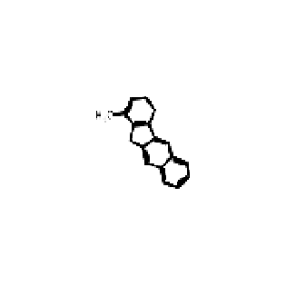 CC1=CCCC2=C1Cc1cc3ccccc3cc12